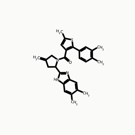 C=C1CC(c2nc3cc(C)c(C)cc3[nH]2)N(C(=O)c2cc(C)sc2-c2ccc(C)c(C)c2)C1